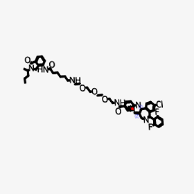 C=N/C=C1/CN=C(c2c(F)cccc2F)c2cc(Cl)ccc2/C1=N/c1ccc(C(=O)NCCOCCOCCOCCNCCCCCC(=O)Nc2cccc3c2CN(C(C)CCC)C3=O)cc1